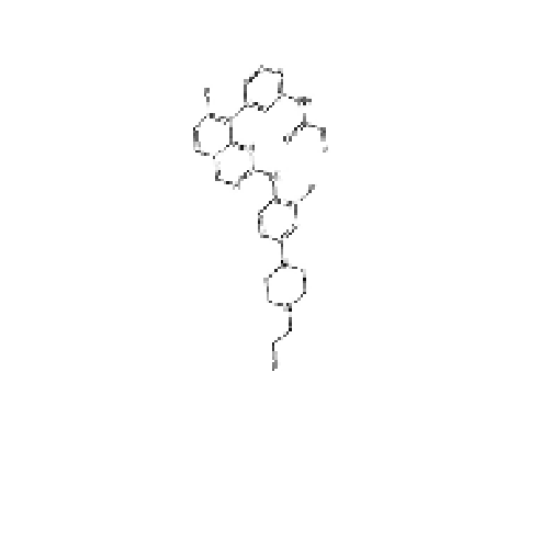 C=CC(=O)Nc1cc(-c2c(F)ccc3cnc(Nc4ccc(N5CCN(CCF)CC5)cc4F)nc23)ccn1